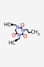 C#CCN1CC(=O)N(CC#C)C(=O)N(CCC)C1=O